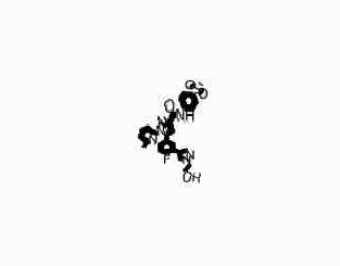 Cc1cccc(-n2nc(C(=O)Nc3ccc(S(C)(=O)=O)cc3)cc2-c2ccc(F)c(-c3cnn(CCO)c3)c2)n1